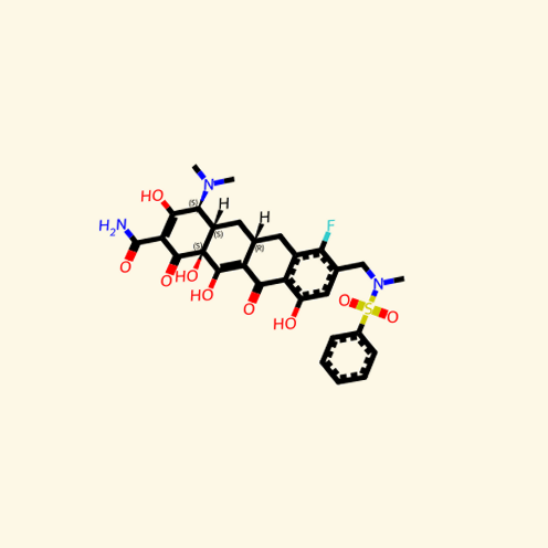 CN(C)[C@@H]1C(O)=C(C(N)=O)C(=O)[C@@]2(O)C(O)=C3C(=O)c4c(O)cc(CN(C)S(=O)(=O)c5ccccc5)c(F)c4C[C@H]3C[C@@H]12